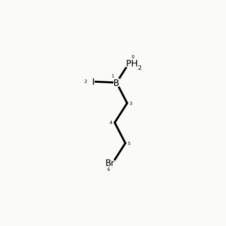 PB(I)CCCBr